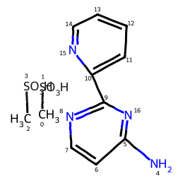 CS(=O)(=O)O.CS(=O)(=O)O.Nc1ccnc(-c2ccccn2)n1